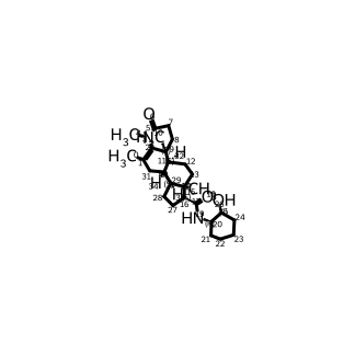 CC1=C2N(C)C(=O)CC[C@]2(C)[C@H]2CC[C@]3(C)[C@@H](C(=O)N[C@@H]4CCCC[C@@H]4O)CC[C@H]3[C@@H]2C1